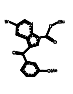 COc1cccc(C(=O)c2cn(C(=O)OC(C)(C)C)c3ncc(Br)cc23)c1